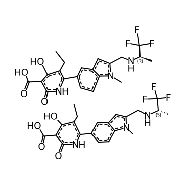 CCc1c(-c2ccc3c(c2)cc(CN[C@@H](C)C(F)(F)F)n3C)[nH]c(=O)c(C(=O)O)c1O.CCc1c(-c2ccc3c(c2)cc(CN[C@H](C)C(F)(F)F)n3C)[nH]c(=O)c(C(=O)O)c1O